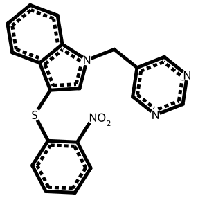 O=[N+]([O-])c1ccccc1Sc1cn(Cc2cncnc2)c2ccccc12